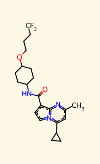 Cc1cc(C2CC2)n2ccc(C(=O)NC3CCC(OCCCC(F)(F)F)CC3)c2n1